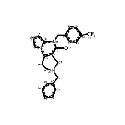 O=c1c2c(n3cncc3n1Cc1ccc(C(F)(F)F)cc1)CCN(Cc1ccccc1)C2